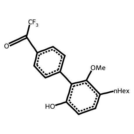 CCCCCCc1ccc(O)c(-c2ccc(C(=O)C(F)(F)F)cc2)c1OC